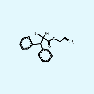 C=CCOC(=O)C(S)(CC)C(c1ccccc1)c1ccccc1